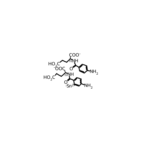 Nc1ccc(C(=O)N[C@@H](CCC(=O)O)C(=O)[O-])cc1.Nc1ccc(C(=O)N[C@@H](CCC(=O)O)C(=O)[O-])cc1.[Sn+2]